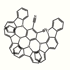 N#Cc1c(C#N)c(-n2c3ccccc3c3ccc4c5ccccc5oc4c32)c(-n2c3ccccc3c3ccccc32)c(-n2c3ccccc3c3ccccc32)c1-n1c2ccccc2c2ccccc21